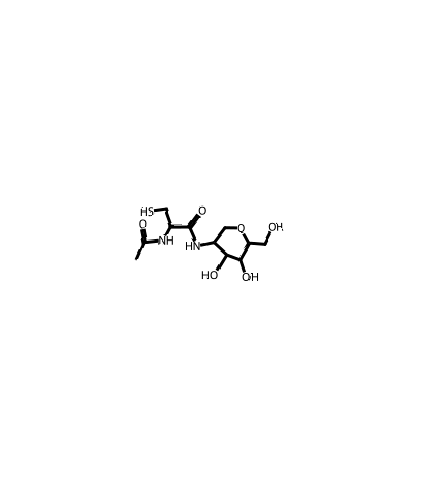 CC(=O)NC(CS)C(=O)NC1COC(CO)C(O)C1O